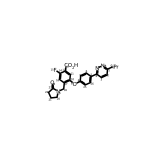 CC(C)c1ccc(-c2ccc(Oc3cc(C(=O)O)c(F)cc3CN3CCCC3=O)cc2)nn1